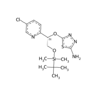 CC(C)(C)[Si](C)(C)OC[C@@H](Oc1nnc(N)s1)c1ccc(Cl)cn1